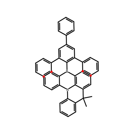 CC1(C)c2ccccc2N2c3ccccc3B(c3c(-c4ccccc4)cc(-c4ccccc4)cc3-c3ccccc3)c3cccc1c32